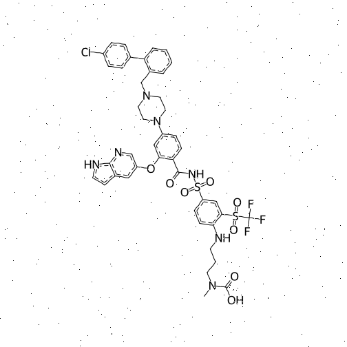 CN(CCCNc1ccc(S(=O)(=O)NC(=O)c2ccc(N3CCN(Cc4ccccc4-c4ccc(Cl)cc4)CC3)cc2Oc2cnc3[nH]ccc3c2)cc1S(=O)(=O)C(F)(F)F)C(=O)O